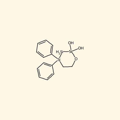 O[Si]1(O)OCC[Si](c2ccccc2)(c2ccccc2)[SiH2]1